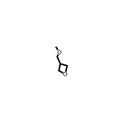 COCC1COC1